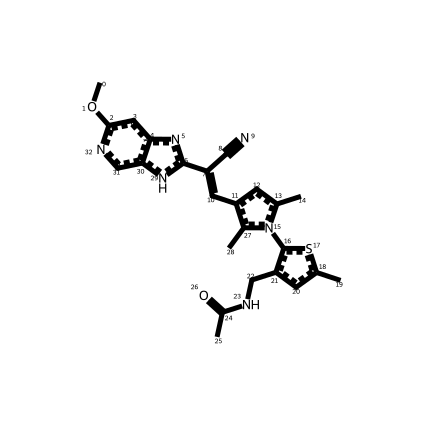 COc1cc2nc(C(C#N)=Cc3cc(C)n(-c4sc(C)cc4CNC(C)=O)c3C)[nH]c2cn1